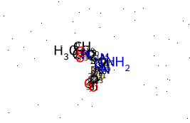 CC(C)(C)OC(=O)N1CCCC(Cn2cnc(N)c3nc(Sc4cc5c(cc4Br)OCO5)nc2-3)C1